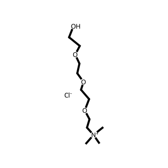 C[N+](C)(C)CCOCCOCCOCCO.[Cl-]